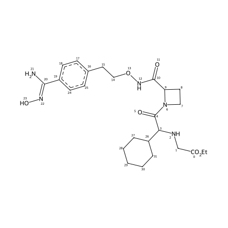 CCOC(=O)CNC(C(=O)N1CCC1C(=O)NOCCc1ccc(/C(N)=N/O)cc1)C1CCCCC1